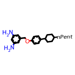 CCCCCC1CCC(c2ccc(OCc3cc(N)cc(N)c3)cc2)CC1